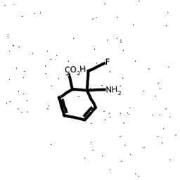 NC1(CF)C=CC=CC1C(=O)O